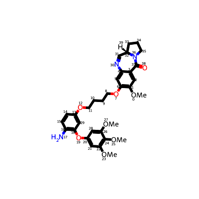 COc1cc2c(cc1OCCCCOc1ccc(N)c(Oc3cc(OC)c(OC)c(OC)c3)c1)N=C[C@@H]1CCCN1C2=O